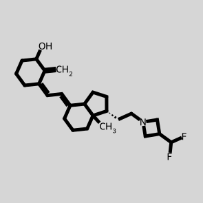 C=C1/C(=C\C=C2/CCCC3(C)C2CC[C@@H]3CCN2CC(C(F)F)C2)CCCC1O